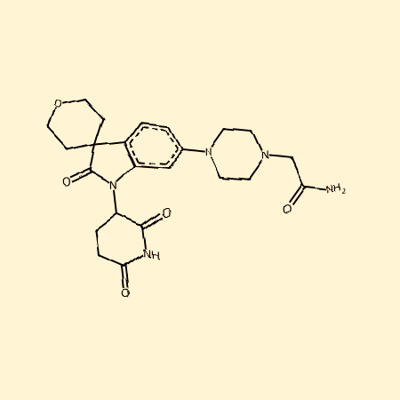 NC(=O)CN1CCN(c2ccc3c(c2)N(C2CCC(=O)NC2=O)C(=O)C32CCOCC2)CC1